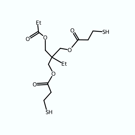 CCC(=O)OCC(CC)(COC(=O)CCS)COC(=O)CCS